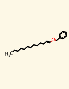 CCCCCCCCCCCC=COCc1ccccc1